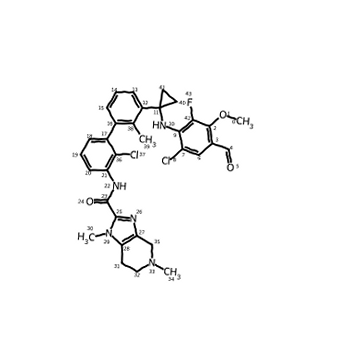 COc1c(C=O)cc(Cl)c(NC2(c3cccc(-c4cccc(NC(=O)c5nc6c(n5C)CCN(C)C6)c4Cl)c3C)CC2)c1F